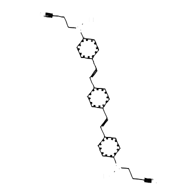 CN(CCC#N)c1ccc(/C=C/c2ccc(/C=C/c3ccc(N(C)CCC#N)cc3)cc2)cc1